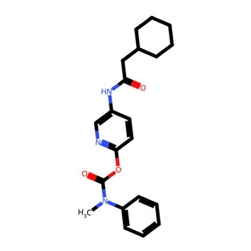 CN(C(=O)Oc1ccc(NC(=O)CC2CCCCC2)cn1)c1ccccc1